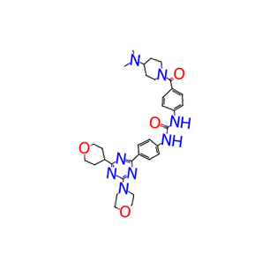 CN(C)C1CCN(C(=O)c2ccc(NC(=O)Nc3ccc(-c4nc(C5CCOCC5)nc(N5CCOCC5)n4)cc3)cc2)CC1